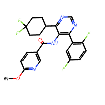 CC(C)Oc1ccc(C(=O)Nc2c(-c3cc(F)ccc3F)ncnc2C2CCC(F)(F)CC2)cn1